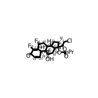 CCCC(=O)O[C@]1(C(=O)CCl)[C@@H](C)C[C@H]2[C@@H]3C[C@H](F)C4=C(F)C(=O)C=C[C@]4(C)[C@@]3(F)[C@@H](O)C[C@@]21C